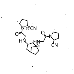 N#CC1CCCN1C(=O)CN[C@]12CCC(CC(NCC(=O)N3CCC[C@H]3C#N)C1)C2